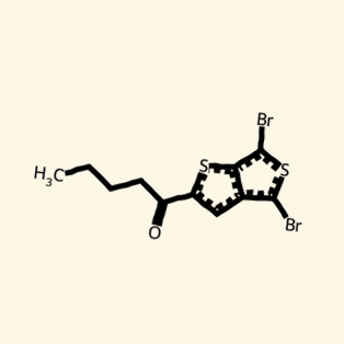 CCCCC(=O)c1cc2c(Br)sc(Br)c2s1